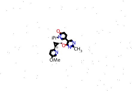 COc1ccc([C@H]2C[C@@H]2COc2nc(C)ncc2-c2ccc(=O)n(C(C)C)c2)nc1